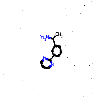 CC(N)c1cccc(-c2ncccn2)c1